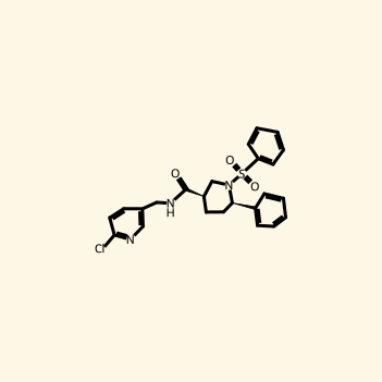 O=C(NCc1ccc(Cl)nc1)[C@@H]1CC[C@H](c2ccccc2)N(S(=O)(=O)c2ccccc2)C1